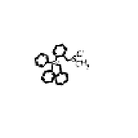 CSCc1ccccc1[P+](Cc1ccccc1)(c1ccccc1)c1ccccc1.[Cl-]